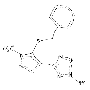 CC(C)n1nnc(-c2cnn(C)c2SCc2ccccc2)n1